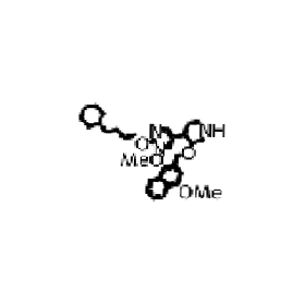 COc1cc(COC2CNCCC2c2cnc(OCCCCC3CCCCC3)nc2)c(OC)c2ccccc12